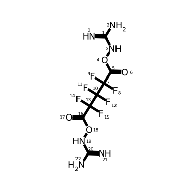 N=C(N)NOC(=O)C(F)(F)C(F)(F)C(F)(F)C(=O)ONC(=N)N